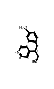 CCC(C)CC(Cc1ccc(C)cc1)c1ccncc1